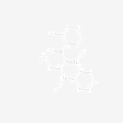 O=C(c1ccccc1F)c1c(CO)[n+]([O-])c2ccccc2[n+]1[O-]